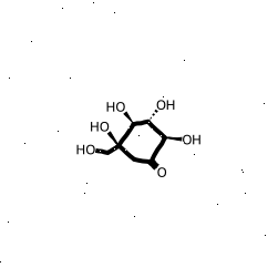 O=C1C[C@](O)(CO)[C@@H](O)[C@H](O)[C@H]1O